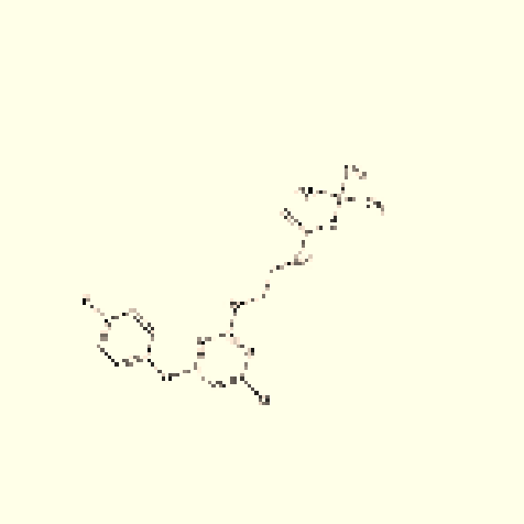 CC(C)(C)OC(=O)NCCNc1nc(Cl)cc(Oc2ccc(F)cc2)n1